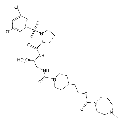 CN1CCCN(C(=O)OCCC2CCN(C(=O)NC[C@H](NC(=O)[C@@H]3CCCN3S(=O)(=O)c3cc(Cl)cc(Cl)c3)C(=O)O)CC2)CC1